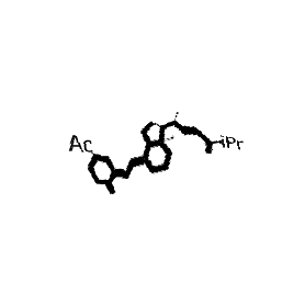 C=C1CC[C@H](C(C)=O)C/C1=C\C=C1/CCC[C@@]2(C)C1CC[C@@H]2[C@H](C)/C=C/[C@H](C)C(C)C